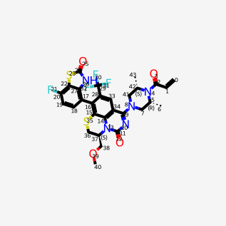 C=CC(=O)N1[C@H](C)CN(c2nc(=O)n3c4c(c(-c5ccc(F)c6sc(=O)[nH]c56)c(C(F)(F)F)cc24)SC[C@@H]3COC)C[C@@H]1C